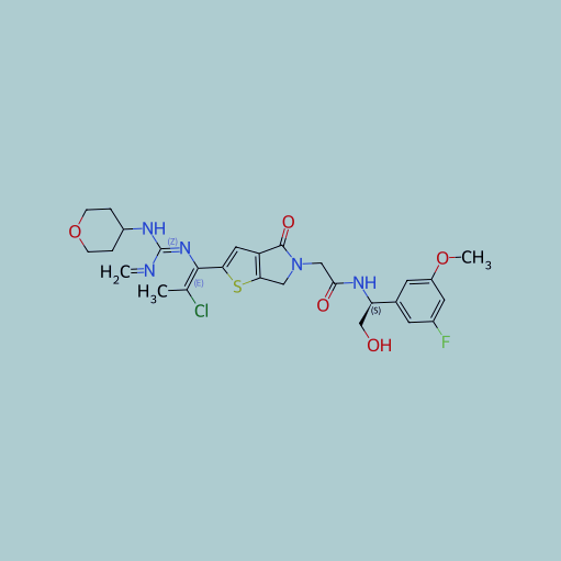 C=N/C(=N\C(=C(/C)Cl)c1cc2c(s1)CN(CC(=O)N[C@H](CO)c1cc(F)cc(OC)c1)C2=O)NC1CCOCC1